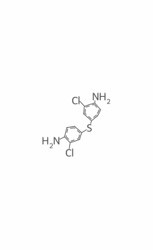 Nc1ccc(Sc2ccc(N)c(Cl)c2)cc1Cl